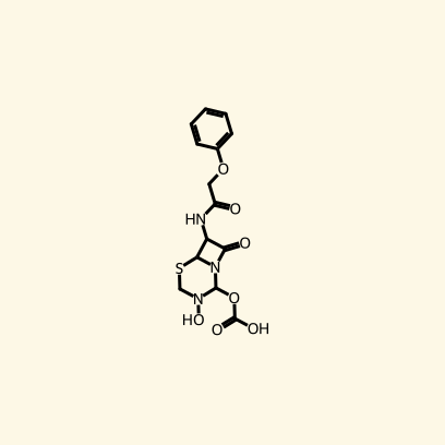 O=C(COc1ccccc1)NC1C(=O)N2C1SCN(O)C2OC(=O)O